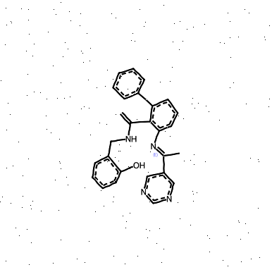 C=C(NCc1ccccc1O)c1c(/N=C(\C)c2cncnc2)cccc1-c1ccccc1